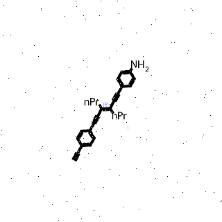 C#Cc1ccc(C#C/C(CCC)=C(/C#Cc2ccc(N)cc2)CCC)cc1